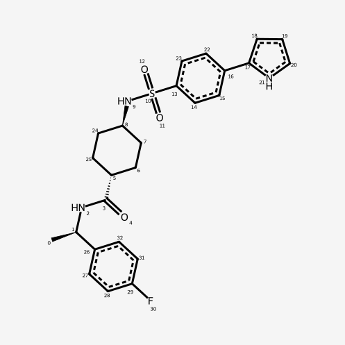 C[C@@H](NC(=O)[C@H]1CC[C@H](NS(=O)(=O)c2ccc(-c3ccc[nH]3)cc2)CC1)c1ccc(F)cc1